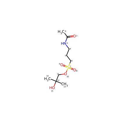 CC(=O)NCCCS(=O)(=O)OCC(C)(C)O